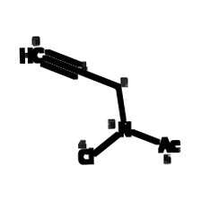 C#CCN(Cl)C(C)=O